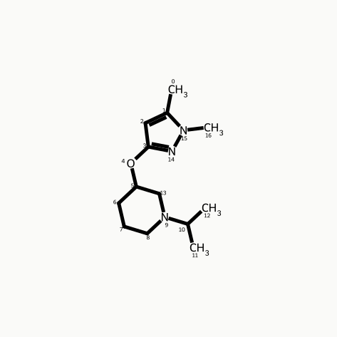 Cc1cc(OC2CCCN(C(C)C)C2)nn1C